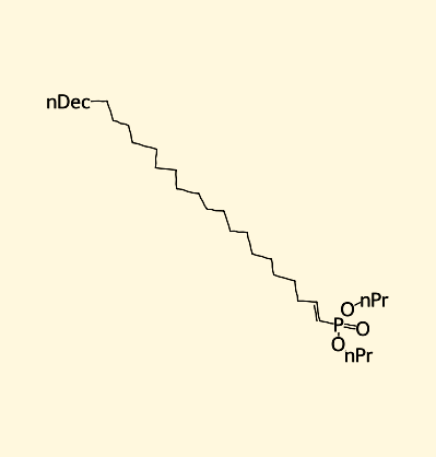 CCCCCCCCCCCCCCCCCCCCCCCCCCCCC=CP(=O)(OCCC)OCCC